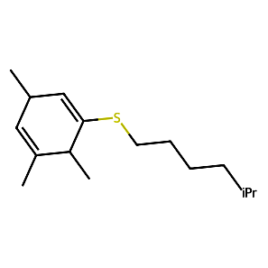 CC1=CC(C)C=C(SCCCCC(C)C)C1C